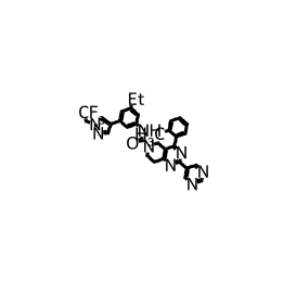 CCc1cc(NC(=O)N2CCc3nc(-c4cncnc4)nc(-c4ccccc4C)c3C2)cc(-c2cnn(CC(F)(F)F)c2)c1